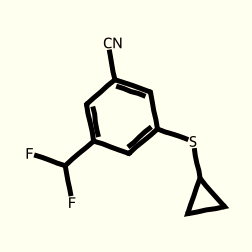 N#Cc1cc(SC2CC2)cc(C(F)F)c1